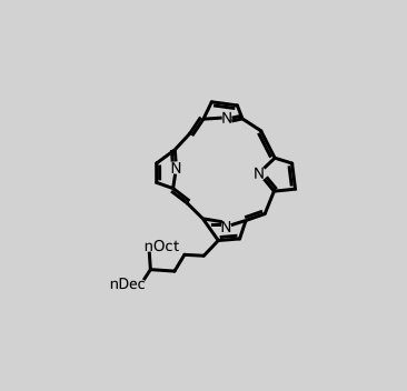 CCCCCCCCCCC(CCCCCCCC)CCCC1=CC2=CC3=NC(=CC4=NC(=CC5=NC(=CC1=N2)C=C5)C=C4)C=C3